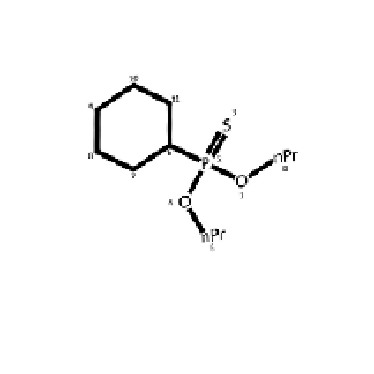 CCCOP(=S)(OCCC)C1CCCCC1